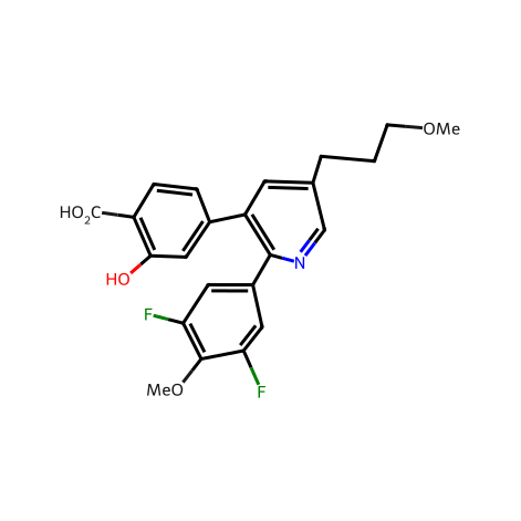 COCCCc1cnc(-c2cc(F)c(OC)c(F)c2)c(-c2ccc(C(=O)O)c(O)c2)c1